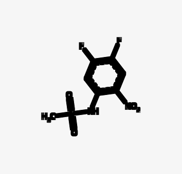 CS(=O)(=O)Nc1cc(F)c(F)cc1[N+](=O)[O-]